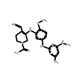 CNc1cc(C)nc(Nc2ccc(OC)c(NC3=C(C=N)CCN(C(C)=O)C3)c2)n1